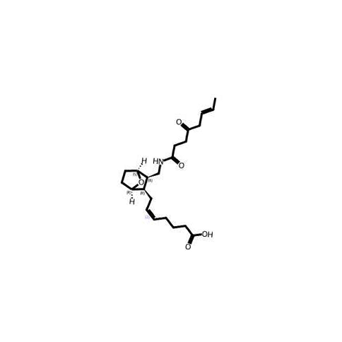 CC=CCC(=O)CCC(=O)NC[C@H]1[C@@H](C/C=C\CCCC(=O)O)[C@H]2CC[C@@H]1O2